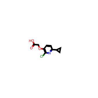 O=C(O)COc1ccc(C2CC2)nc1Cl